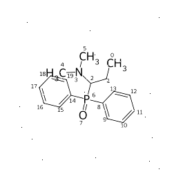 CCC(N(C)C)P(=O)(c1ccccc1)c1ccccc1